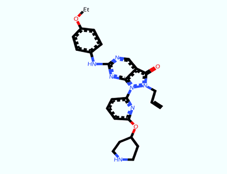 C=CCn1c(=O)c2cnc(Nc3ccc(OCC)cc3)nc2n1-c1cccc(OC2CCNCC2)n1